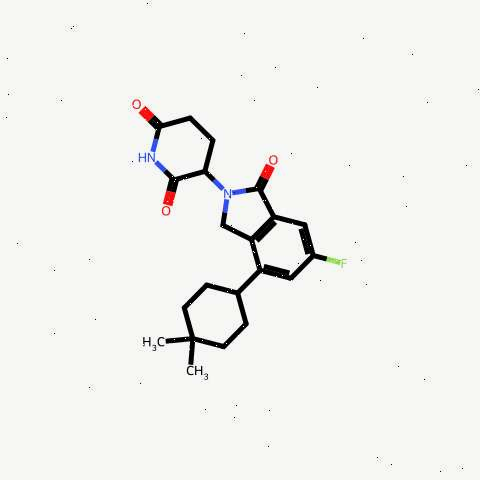 CC1(C)CCC(c2cc(F)cc3c2CN(C2CCC(=O)NC2=O)C3=O)CC1